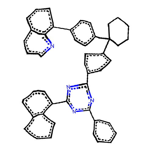 c1ccc(-c2nc(-c3ccc(C4(c5ccc(-c6cccc7cccnc67)cc5)CCCCC4)cc3)nc(-c3cccc4ccccc34)n2)cc1